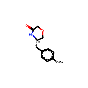 COc1ccc(C[C@H]2COCC(=O)N2)cc1